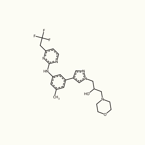 Cc1cc(Nc2nccc(CC(F)(F)F)n2)cc(-c2cnn(CC(O)CN3CCOCC3)c2)c1